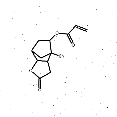 C=CC(=O)OC1CC2CC1(C#N)C1CC(=O)OC21